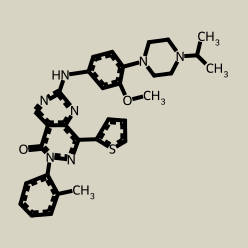 COc1cc(Nc2ncc3c(=O)n(-c4ccccc4C)nc(-c4cccs4)c3n2)ccc1N1CCN(C(C)C)CC1